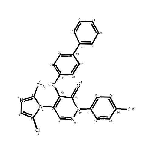 Cc1ncc(Cl)n1-c1cnn(-c2ccc(Cl)cc2)c(=O)c1Oc1ccc(-c2ccccc2)cc1